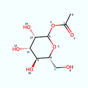 CC(=O)OC1O[C@H](CO)[C@@H](O)[C@H](O)[C@@H]1O